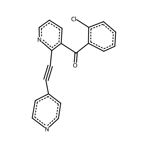 O=C(c1ccccc1Cl)c1cccnc1C#Cc1ccncc1